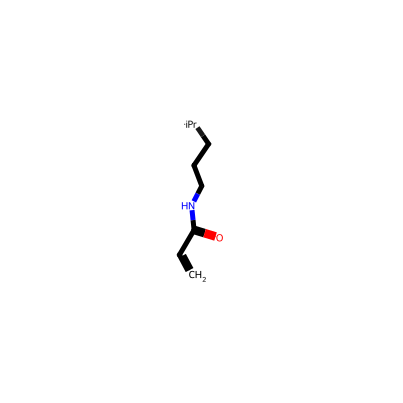 C=CC(=O)NCCC[C](C)C